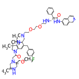 COC[C@H]1CN[C@H](C)CN1CC(=O)N1CC(C)(C)c2nc(CN(C)CCOCCOCCNC[C@@H](C(=O)Nc3ccc4cnccc4c3)c3ccccc3)c(Cc3ccc(F)cc3)cc21